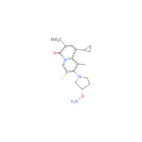 CCOC(=O)c1cc(C2CC2)c2c(C)c(N3CC[C@H](ON)C3)c(F)cn2c1=O